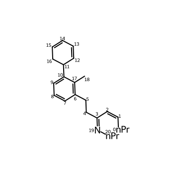 CCC/C=C\C(CCc1cccc(C2C=CC=CC2)c1C)=N/CCC